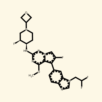 COc1nc(N[C@@H]2CCN(C3COC3)C[C@@H]2F)nn2cc(F)c(-c3ccc4ncn(CC(F)F)c4c3)c12